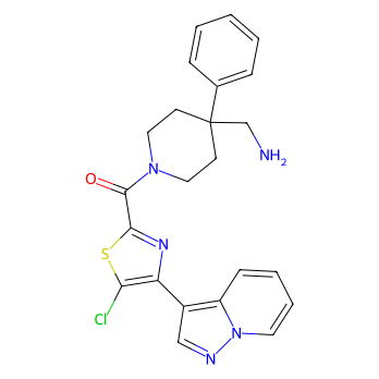 NCC1(c2ccccc2)CCN(C(=O)c2nc(-c3cnn4ccccc34)c(Cl)s2)CC1